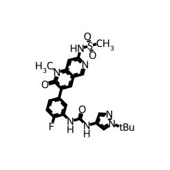 Cn1c(=O)c(-c2ccc(F)c(NC(=O)Nc3cnn(C(C)(C)C)c3)c2)cc2cnc(NS(C)(=O)=O)cc21